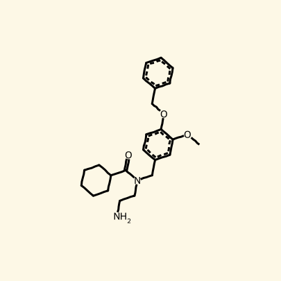 COc1cc(CN(CCN)C(=O)C2CCCCC2)ccc1OCc1ccccc1